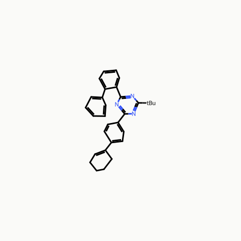 CC(C)(C)c1nc(-c2ccc(C3=CCCCC3)cc2)nc(-c2ccccc2-c2ccccc2)n1